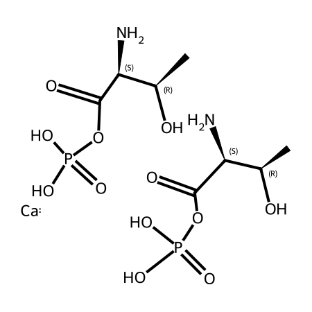 C[C@@H](O)[C@H](N)C(=O)OP(=O)(O)O.C[C@@H](O)[C@H](N)C(=O)OP(=O)(O)O.[Ca]